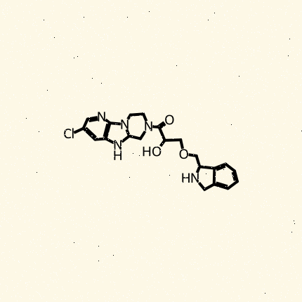 O=C(C(O)COCC1NCc2ccccc21)N1CCN2c3ncc(Cl)cc3NC2C1